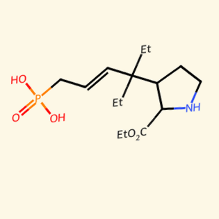 CCOC(=O)C1NCCC1C(C=CCP(=O)(O)O)(CC)CC